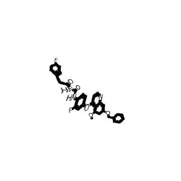 COc1cc(OCc2ccccc2)cc2nccc(Oc3ccc(NC(=O)NC(=O)Cc4ccc(F)cc4)c(F)c3)c12